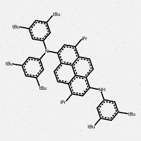 CC(C)c1cc(Nc2cc(C(C)(C)C)cc(C(C)(C)C)c2)c2ccc3c(C(C)C)cc(N(c4cc(C(C)(C)C)cc(C(C)(C)C)c4)c4cc(C(C)(C)C)cc(C(C)(C)C)c4)c4ccc1c2c34